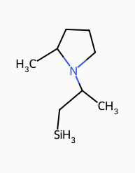 CC(C[SiH3])N1CCCC1C